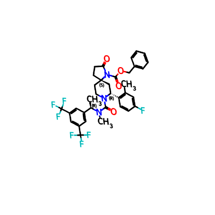 Cc1cc(F)ccc1[C@H]1C[C@]2(CCC(=O)N2C(=O)OCc2ccccc2)CCN1C(=O)N(C)[C@H](C)c1cc(C(F)(F)F)cc(C(F)(F)F)c1